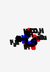 CCCCOC(=O)N1CCN(C(=O)[C@@H](NC(=O)c2cc(N3C[C@@H]4[C@H](C3)[C@@H]4OC(=O)O)nc(-c3cccc(C(F)(F)F)c3)n2)C(C)C)CC1